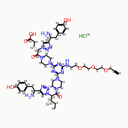 C#CCOCCOCCOCCNc1nc(N2CCN(C(=O)C([C@@H](C)CC)n3cc(C(N)Cc4ccc(O)cc4)nn3)CC2)nc(N2CCN(C(=O)[C@H](CCC(=O)O)n3cc(C(N)Cc4ccc(O)cc4)nn3)CC2)n1.Cl